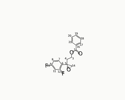 O=C(OCCC1(c2ccc(F)cc2F)CO1)c1ccccc1